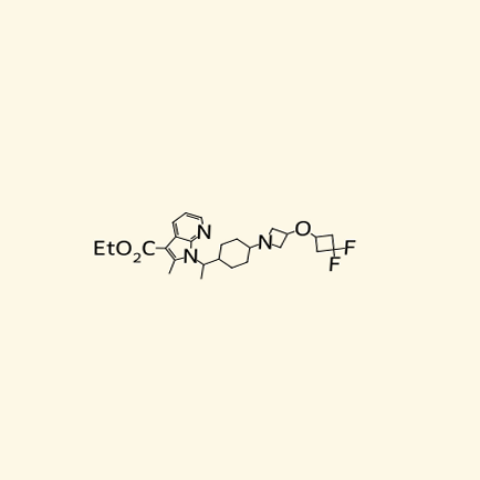 CCOC(=O)c1c(C)n(C(C)C2CCC(N3CC(OC4CC(F)(F)C4)C3)CC2)c2ncccc12